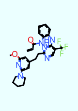 C=CC(=O)Nc1ccccc1Nc1nc(CCc2cc(OC)nc(N3CCCCC3)c2)ncc1C(F)(F)F